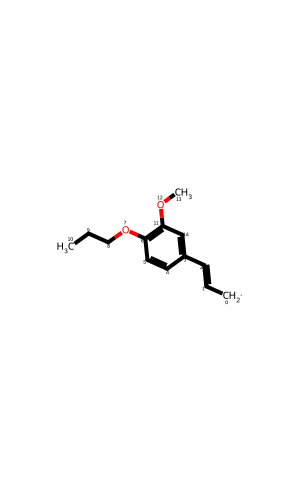 [CH2]/C=C/c1ccc(OCCC)c(OC)c1